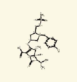 C[C@@H](O)[C@H]1C(=O)N2C(C(=O)O)=C(S[C@H]3C[C@@H](CNS(N)(=O)=O)N(Cc4ccc(Cl)cc4)C3)[C@H](C)[C@H]12